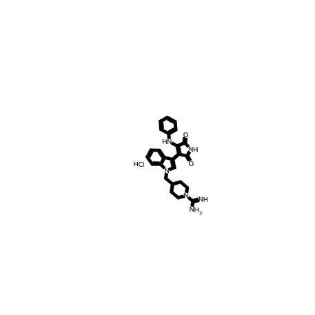 Cl.N=C(N)N1CCC(Cn2cc(C3=C(Nc4ccccc4)C(=O)NC3=O)c3ccccc32)CC1